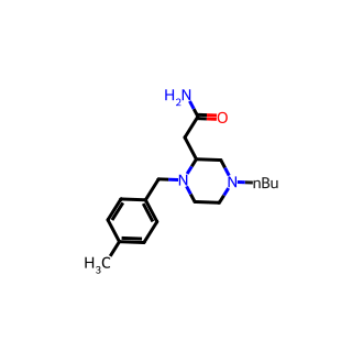 CCCCN1CCN(Cc2ccc(C)cc2)C(CC(N)=O)C1